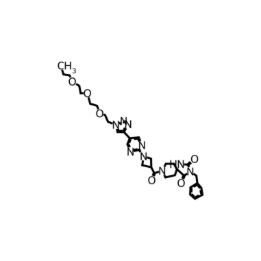 CCCOCCOCCOCCn1cc(-c2cnc(N3CC(C(=O)N4CCC5(CC4)NC(=O)N(Cc4ccccc4)C5=O)C3)nc2)nn1